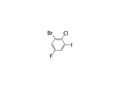 Fc1cc(Br)c(Cl)c(I)c1